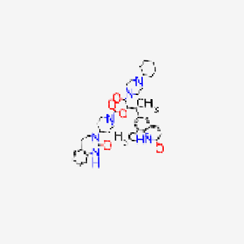 Cc1cc([C@@H](C)C(OC(=O)N2CCC(N3CCc4ccccc4NC3=O)CC2)C(=O)N2CCN(C3CCCCC3)CC2)cc2ccc(=O)[nH]c12